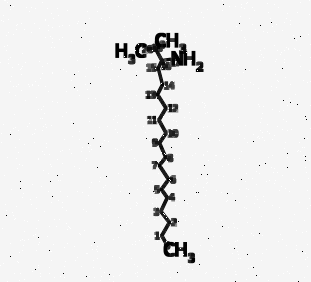 CCCCCCCCCCCCCCCCC(N)C(C)C